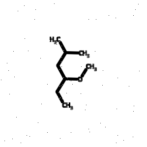 CCC(CC(C)C)OC